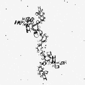 Cc1c(COc2cc(OCc3ccc4c(c3)C(=O)NCC4)c(CNC(C=O)CCO)cc2Cl)cccc1-c1cccc(COc2cc(OCc3ccc4c(c3)C(=O)NCC4)c(CNC(CCO)C(=O)O)cc2Cl)c1C